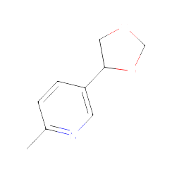 Cc1ccc(C2COCO2)cn1